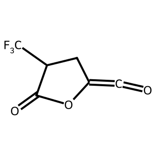 O=C=C1CC(C(F)(F)F)C(=O)O1